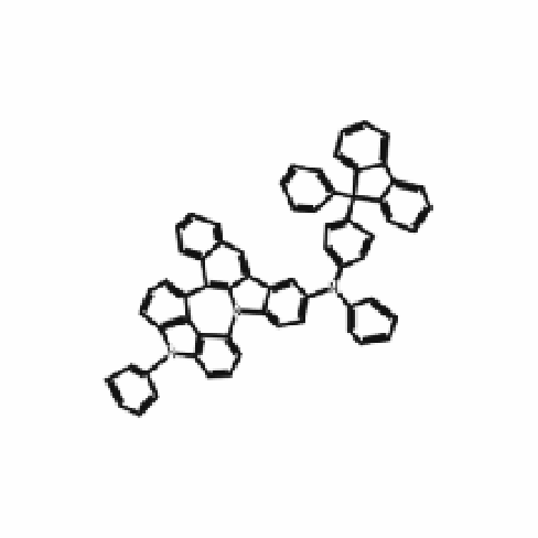 c1ccc(N(c2ccc(C3(c4ccccc4)c4ccccc4-c4ccccc43)cc2)c2ccc3c(c2)c2cc4ccccc4c4c5cccc6c5c5c(cccc5n3c24)n6-c2ccccc2)cc1